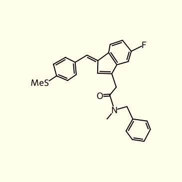 CSc1ccc(/C=C2\C=C(CC(=O)N(C)Cc3ccccc3)c3cc(F)ccc32)cc1